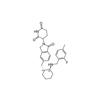 Cc1ccc(CN[C@H]2CCCC[C@@H]2Cc2ccc3c(c2)CN(C2CCC(=O)NC2=O)C3=O)c(F)c1